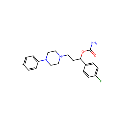 NC(=O)OC(CCN1CCN(c2cc[c]cc2)CC1)c1ccc(F)cc1